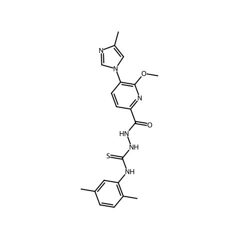 COc1nc(C(=O)NNC(=S)Nc2cc(C)ccc2C)ccc1-n1cnc(C)c1